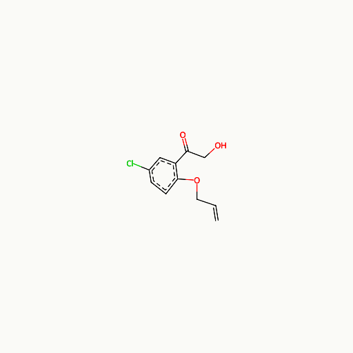 C=CCOc1ccc(Cl)cc1C(=O)CO